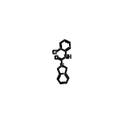 O=C(Nc1ccccc1Cl)N1Cc2ccccc2C1